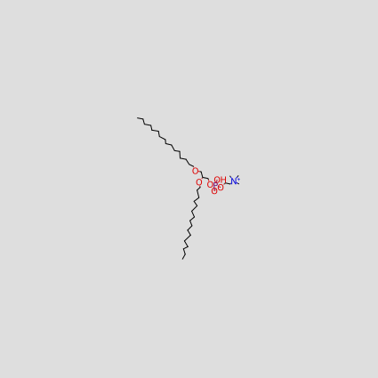 CCCCCCCCCCCCCCCCOCC(COP(=O)(O)OCC[N+](C)(C)C)OCCCCCCCCCCCCCCCC